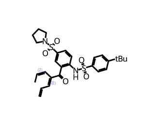 C=C/C=C(\C=C/C)C(=O)c1cc(S(=O)(=O)N2CCCC2)ccc1NS(=O)(=O)c1ccc(C(C)(C)C)cc1